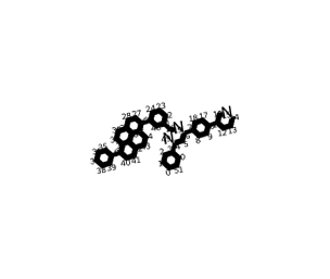 c1ccc(-c2cc(-c3ccc(-c4cccnc4)cc3)nc(-c3cccc(-c4ccc5ccc6c(-c7ccccc7)ccc7ccc4c5c76)c3)n2)cc1